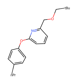 CCCc1ccc(Oc2cccc(COCC(C)(C)C)n2)cc1